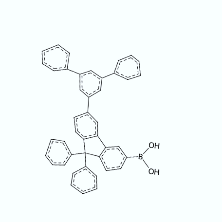 OB(O)c1ccc2c(c1)-c1cc(-c3cc(-c4ccccc4)cc(-c4ccccc4)c3)ccc1C2(c1ccccc1)c1ccccc1